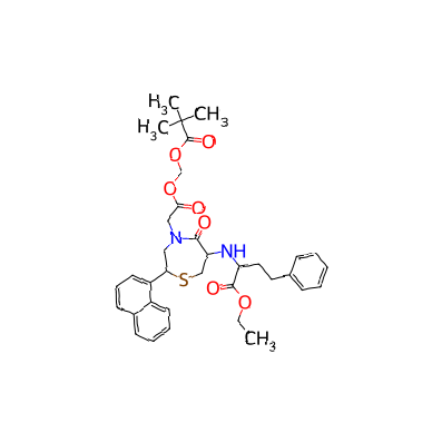 CCOC(=O)C(CCc1ccccc1)NC1CSC(c2cccc3ccccc23)CN(CC(=O)OCOC(=O)C(C)(C)C)C1=O